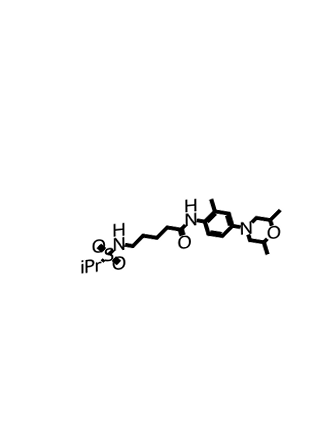 Cc1cc(N2CC(C)OC(C)C2)ccc1NC(=O)CCCCNS(=O)(=O)C(C)C